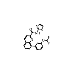 O=C(Nc1nccs1)c1ccc2cccc(-c3cccc(OC(F)F)c3)c2n1